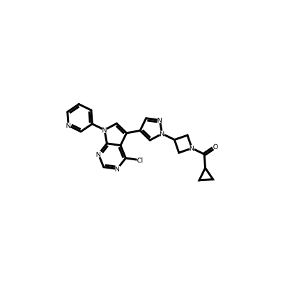 O=C(C1CC1)N1CC(n2cc(-c3cn(-c4cccnc4)c4ncnc(Cl)c34)cn2)C1